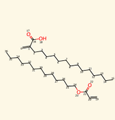 C=C(CCCCCCCCCCCCCC)C(=O)O.C=CC(=O)OCCCCCCCCCCCCC